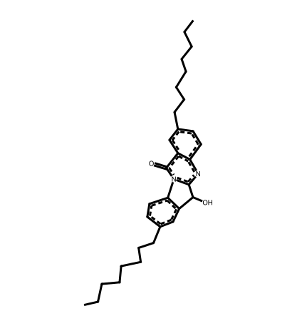 CCCCCCCCc1ccc2c(c1)C(O)c1nc3ccc(CCCCCCCC)cc3c(=O)n1-2